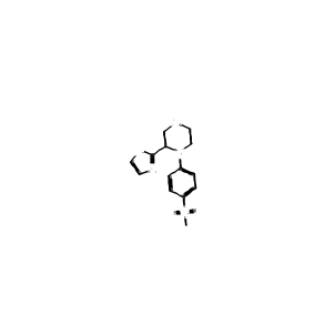 CS(=O)(=O)c1ccc(N2CCNCC2c2nccs2)cc1